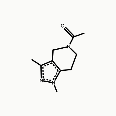 CC(=O)N1CCc2c(c(C)nn2C)C1